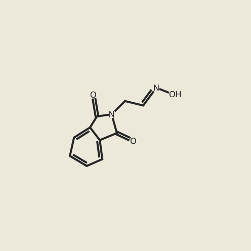 O=C1c2ccccc2C(=O)N1C/C=N/O